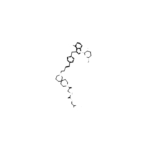 Cc1cccc2c1c(Cc1ccc(/C=C/CCN3CCCC4(CCN(C(=O)CNC(=O)NCC(C)C)CC4)C3)cc1)cn2[C@@H]1O[C@H](CO)[C@@H](O)[C@H](O)[C@H]1O